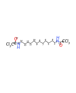 O=C(NCCCCCCCCCCCCNC(=O)C(Cl)(Cl)Cl)C(Cl)(Cl)Cl